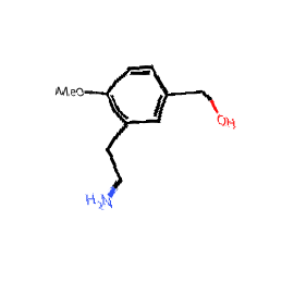 COc1ccc(CO)cc1CCN